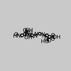 Cc1cc(N=Nc2c(S(=O)(=O)O)cc3cc(NC=O)ccc3c2O)c(O)cc1N=Nc1ccc(N=Nc2ccc3cc(S(=O)(=O)O)cc(S(=O)(=O)O)c3c2)cc1